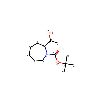 CC(O)[C@@H]1CCCCCN1C(=O)OC(C)(C)C